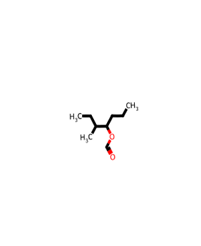 CCCC(OC=O)C(C)CC